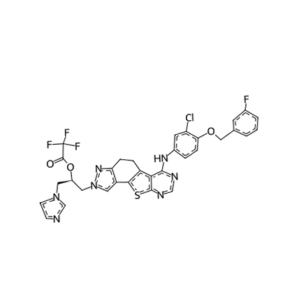 O=C(O[C@H](Cn1ccnc1)Cn1cc2c(n1)CCc1c-2sc2ncnc(Nc3ccc(OCc4cccc(F)c4)c(Cl)c3)c12)C(F)(F)F